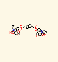 O=C(CCc1ccc2cc(CCC(=O)Oc3ccc4c5c3O[C@H]3C(=O)CC[C@@]6(O)[C@@H](C4)N(CC4CC4)CC[C@]536)ccc2c1)Oc1ccc2c3c1C[C@H]1C(=O)CC[C@@]4(O)[C@@H](C2)N(CC2CC2)CC[C@]314